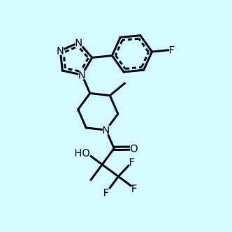 CC1CN(C(=O)C(C)(O)C(F)(F)F)CCC1n1cnnc1-c1ccc(F)cc1